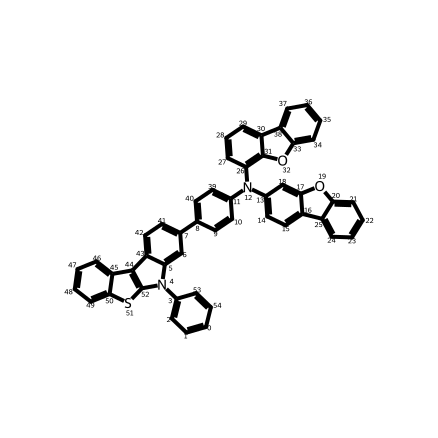 c1ccc(-n2c3cc(-c4ccc(N(c5ccc6c(c5)oc5ccccc56)c5cccc6c5oc5ccccc56)cc4)ccc3c3c4ccccc4sc32)cc1